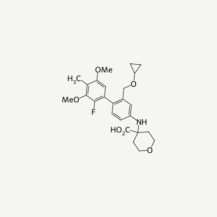 COc1cc(-c2ccc(NC3(C(=O)O)CCOCC3)cc2COC2CC2)c(F)c(OC)c1C